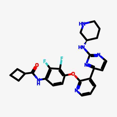 O=C(Nc1ccc(Oc2ncccc2-c2ccnc(N[C@H]3CCCNC3)n2)c(F)c1F)C1CCC1